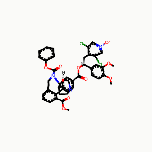 COC(=O)c1cccc(CN(C(=O)Oc2ccccc2)[C@H]2CN3CCC2CC3)c1-c1ccc(C(=O)O[C@@H](Cc2c(Cl)c[n+]([O-])cc2Cl)c2ccc(OC)c(OC)c2)cc1